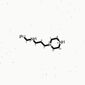 CC(C)CNCCCN1CCNCC1